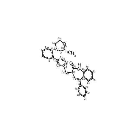 C[C@@H]1CN(c2ncccc2-c2nnc(NC3N=C(c4ccccc4)c4ccccc4NC3=O)o2)CCO1